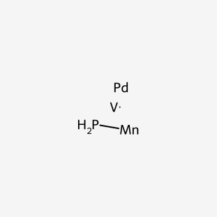 [PH2][Mn].[Pd].[V]